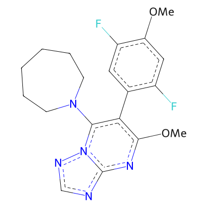 COc1cc(F)c(-c2c(OC)nc3ncnn3c2N2CCCCCC2)cc1F